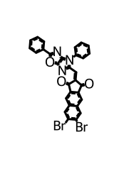 O=C1C(=Cc2nc3oc(-c4ccccc4)nc3n2-c2ccccc2)C(=O)c2cc3cc(Br)c(Br)cc3cc21